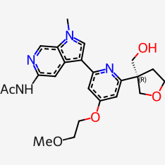 COCCOc1cc(-c2cn(C)c3cnc(NC(C)=O)cc23)nc([C@@]2(CO)CCOC2)c1